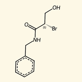 O=C(NCc1ccccc1)[C@@H](Br)CO